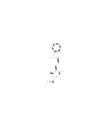 CCCNC(=O)N1N=C(C)/C(=C\C=C2\Oc3ccccc3N2C)C1=O